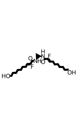 O=C(N[C@@H]1C[C@H]1NC(=O)/C(F)=C/CCCCCCCO)/C(F)=C/CCCCCCCO